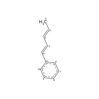 C[C]=CC=Cc1ccccc1